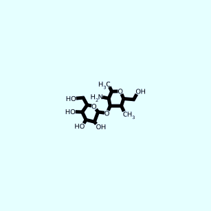 CC1OC(CO)C(C)C(OC2OC(CO)C(O)C(O)C2O)C1N